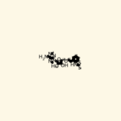 Nc1ncnc2c1ncn2[C@@H]1O[C@H](COCCc2cccc3sc(=S)[nH]c23)[C@@H](O)[C@H]1O